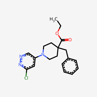 CCOC(=O)C1(Cc2ccccc2)CCN(c2cnnc(Cl)c2)CC1